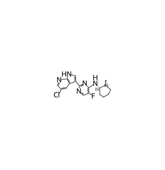 C[C@H]1CCCC[C@@H]1Nc1nc(-c2c[nH]c3ncc(Cl)cc23)ncc1F